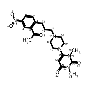 CC(=O)c1cc([N+](=O)[O-])ccc1CCCN1CCN(c2cc(=O)n(C)c(=O)n2C)CC1